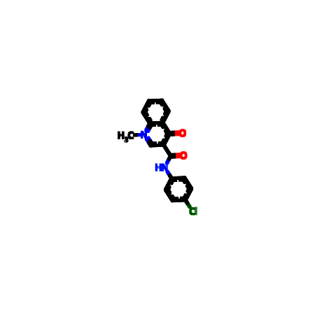 Cn1cc(C(=O)Nc2ccc(Cl)cc2)c(=O)c2ccccc21